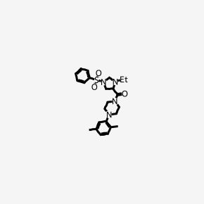 CCN1CN(S(=O)(=O)c2ccccc2)CC1C(=O)N1CCN(c2cc(C)ccc2C)CC1